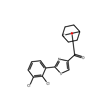 O=C(c1csc(-c2cccc(Cl)c2Cl)n1)N1CC2CCC(CC2)C1